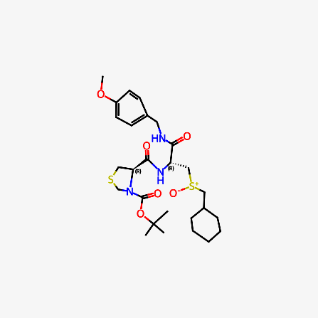 COc1ccc(CNC(=O)[C@H](C[S+]([O-])CC2CCCCC2)NC(=O)[C@@H]2CSCN2C(=O)OC(C)(C)C)cc1